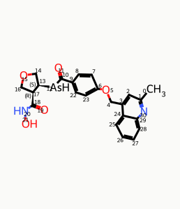 Cc1cc(COc2ccc(C(=O)[AsH][C@@H]3COC[C@@H]3C(=O)NO)cc2)c2ccccc2n1